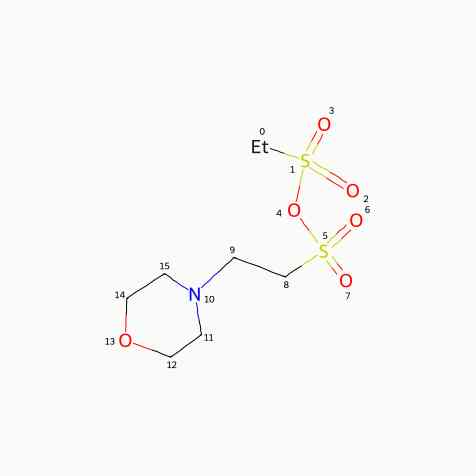 CCS(=O)(=O)OS(=O)(=O)CCN1CCOCC1